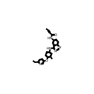 CC#CC(=O)Nc1ccc2ncnc(Nc3ccc(Oc4ccc(CC)nc4)c(C)c3)c2c1